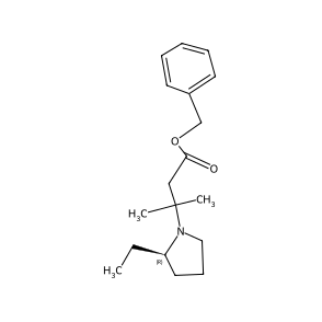 CC[C@@H]1CCCN1C(C)(C)CC(=O)OCc1ccccc1